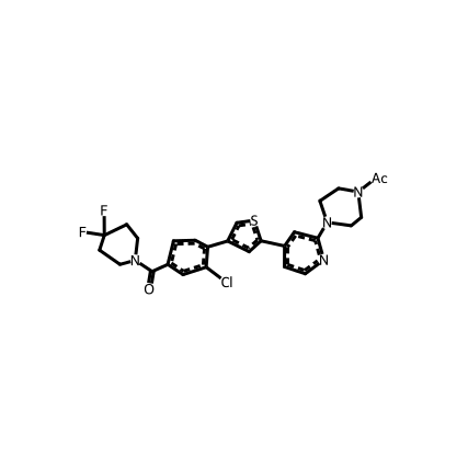 CC(=O)N1CCN(c2cc(-c3cc(-c4ccc(C(=O)N5CCC(F)(F)CC5)cc4Cl)cs3)ccn2)CC1